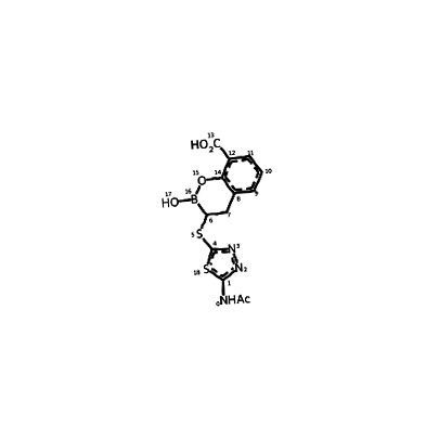 CC(=O)Nc1nnc(SC2Cc3cccc(C(=O)O)c3OB2O)s1